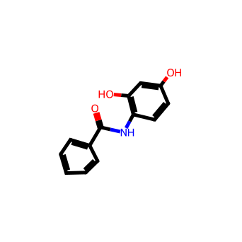 O=C(Nc1ccc(O)cc1O)c1ccccc1